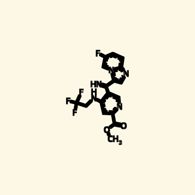 COC(=O)c1cc(NCC(F)(F)F)c(C(=N)c2cnc3ccc(F)cn23)cn1